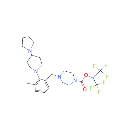 Cc1cccc(CN2CCN(C(=O)OC(C(F)(F)F)C(F)(F)F)CC2)c1N1CCC(N2CCCC2)CC1